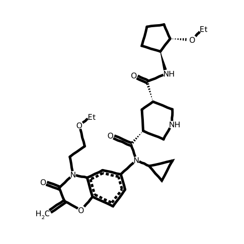 C=C1Oc2ccc(N(C(=O)[C@H]3CNC[C@@H](C(=O)N[C@H]4CCC[C@@H]4OCC)C3)C3CC3)cc2N(CCOCC)C1=O